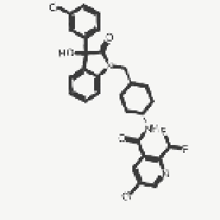 O=C(N[C@H]1CC[C@H](CN2C(=O)C(O)(c3cccc(Cl)c3)c3ccccc32)CC1)c1cc(Cl)cnc1C(F)F